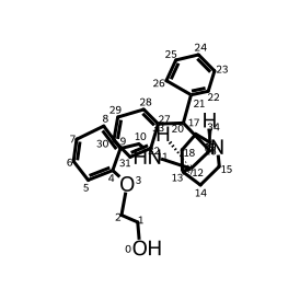 OCCOc1ccccc1CN[C@@H]1C2CCN(CC2)[C@H]1C(c1ccccc1)c1ccccc1